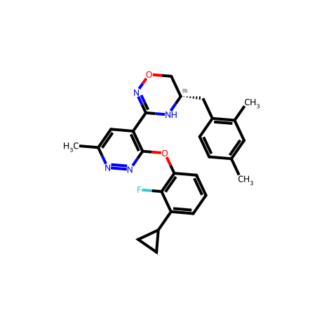 Cc1ccc(C[C@H]2CON=C(c3cc(C)nnc3Oc3cccc(C4CC4)c3F)N2)c(C)c1